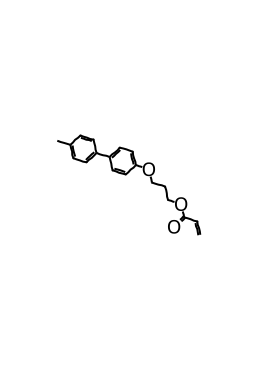 C=CC(=O)OCCCOc1ccc(-c2ccc(C)cc2)cc1